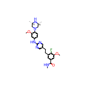 CNC(=O)c1cc(CCc2cnc(Nc3ccc(N4C[C@@H](C)N[C@@H](C)C4)c(OC)c3)nc2)c(F)c(OC)c1